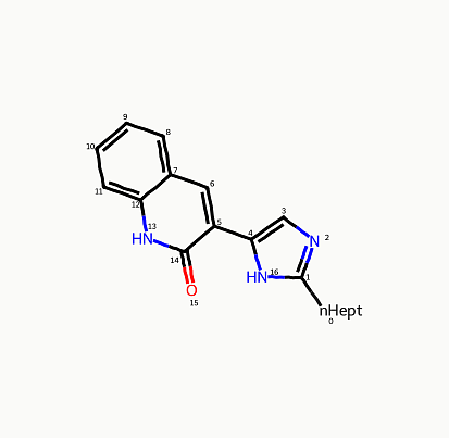 CCCCCCCc1ncc(-c2cc3ccccc3[nH]c2=O)[nH]1